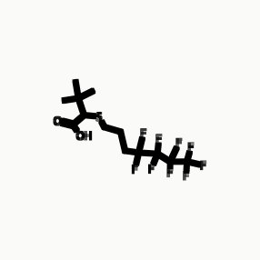 CC(C)(C)C(SCCCC(F)(F)C(F)(F)C(F)(F)C(F)(F)F)C(=O)O